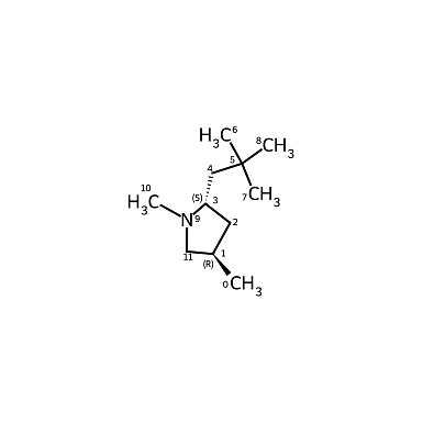 C[C@@H]1C[C@@H](CC(C)(C)C)N(C)C1